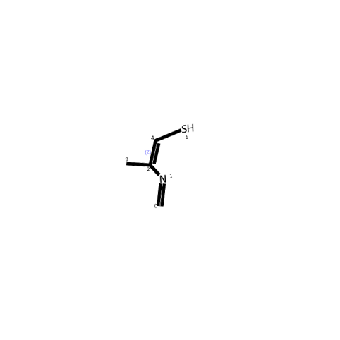 C=N/C(C)=C\S